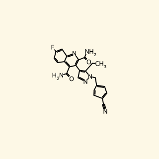 CCc1c(-c2c(C(N)=O)nc3cc(F)ccc3c2C(N)=O)cnn1Cc1ccc(C#N)cc1